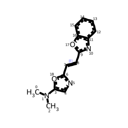 CN(C)c1cnc(/C=C/c2nc3ccccc3o2)o1